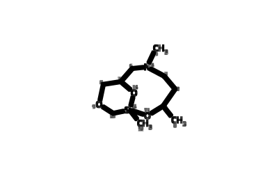 CC1CCN(C)CC2COC[Si](C)(O1)O2